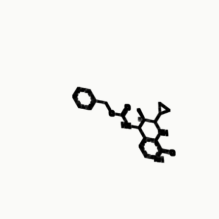 C[C@@H]1C(NC(=O)OCc2ccccc2)c2cc[nH]c(=O)c2NC1C1CC1